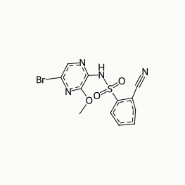 COc1nc(Br)cnc1NS(=O)(=O)c1ccccc1C#N